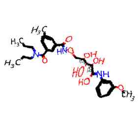 CCCN(CCC)C(=O)c1cc(C)cc(C(=O)NOC[C@H](O)[C@H](O)[C@H](O)C(O)Nc2cccc(OC)c2)c1